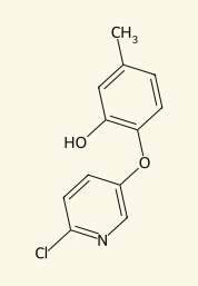 Cc1ccc(Oc2ccc(Cl)nc2)c(O)c1